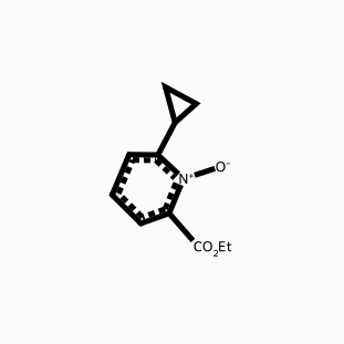 CCOC(=O)c1cccc(C2CC2)[n+]1[O-]